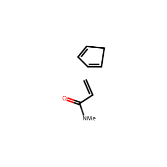 C1=CCC=C1.C=CC(=O)NC